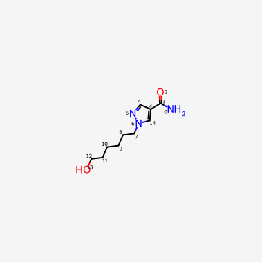 NC(=O)c1cnn(CCCCCCO)c1